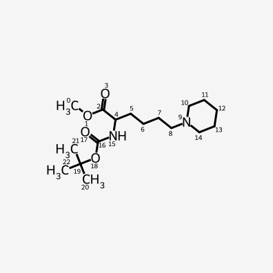 COC(=O)C(CCCCN1CCCCC1)NC(=O)OC(C)(C)C